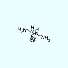 NCCNC(=O)NCCN.[Ce].[Ce]